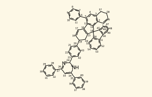 C1=Cc2c(cc(-c3ccccc3)c3c2C2(C4=C3C=CC(c3ccc(C5N=C(c6ccccc6)C=C(c6ccccc6)N5)cc3)C4)c3ccccc3-c3ccccc32)CC1